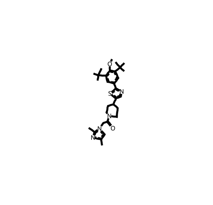 COc1c(C(C)(C)C)cc(-c2ncc(C3CCN(C(=O)Cn4cc(C)nc4C)CC3)s2)cc1C(C)(C)C